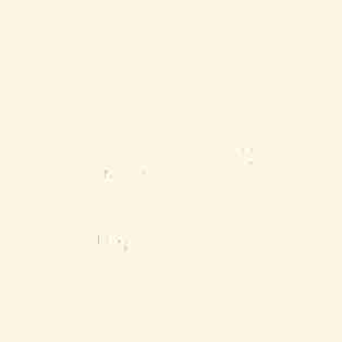 NCCCc1c([N+](=O)[O-])cc(C(F)(F)F)c2sc(=S=O)sc12